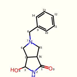 O=C1NC(O)C2CN(Cc3ccccc3)CC12